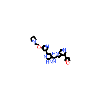 c1cc(-c2cncc3[nH]c(-c4n[nH]c5cnc(-c6cncc(OCCN7CCCC7)c6)cc45)cc23)co1